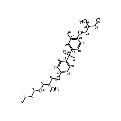 CCCCOC[C@@H](O)COc1ccc(C(C)(C)c2ccc(OC[C@@H](O)CCl)c(C)c2)cc1